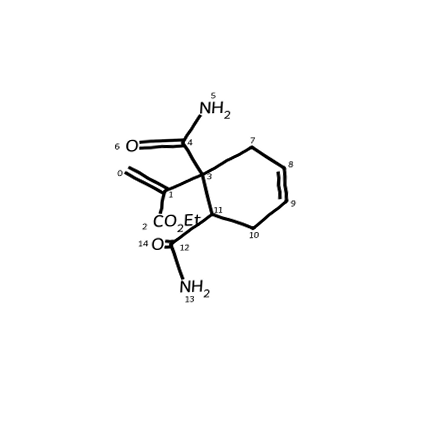 C=C(C(=O)OCC)C1(C(N)=O)CC=CCC1C(N)=O